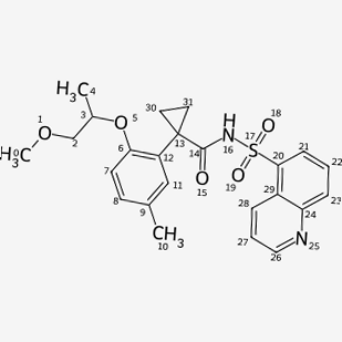 COCC(C)Oc1ccc(C)cc1C1(C(=O)NS(=O)(=O)c2cccc3ncccc23)CC1